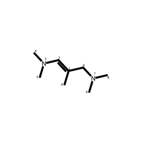 C/C(=C\N(C)C)CN(C)C